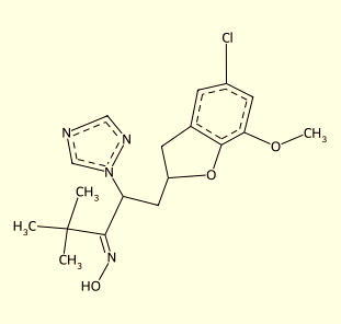 COc1cc(Cl)cc2c1OC(CC(C(=NO)C(C)(C)C)n1cncn1)C2